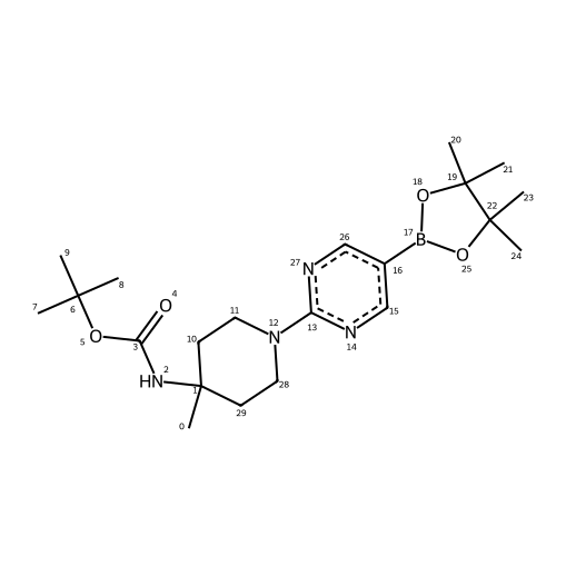 CC1(NC(=O)OC(C)(C)C)CCN(c2ncc(B3OC(C)(C)C(C)(C)O3)cn2)CC1